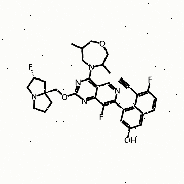 C#Cc1c(F)ccc2cc(O)cc(-c3ncc4c(N5CC(C)COCC5C)nc(OC[C@@]56CCCN5C[C@H](F)C6)nc4c3F)c12